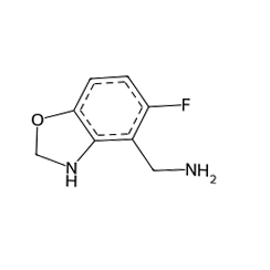 NCc1c(F)ccc2c1NCO2